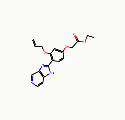 C=CCOc1cc(OCC(=O)OCC)ccc1-c1nc2cnccc2[nH]1